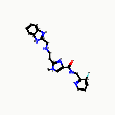 Cn1cc(C(=O)NCc2ncccc2F)nc1CCNCc1nc2ccccc2[nH]1